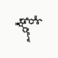 C=CC(=O)Nc1cccc(Oc2cnc3[nH]cc(-c4ccc(OCCOC)nc4)c3n2)c1